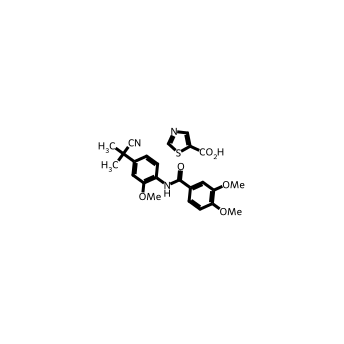 COc1cc(C(C)(C)C#N)ccc1NC(=O)c1ccc(OC)c(OC)c1.O=C(O)c1cncs1